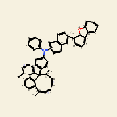 CC/C=C\C=C(/C)C1(c2ccc(N(c3ccccc3)c3ccc4c(c3)C=C[C@@](C)(C3C=CC=C5c6ccccc6OC53)C4)cc2)c2ccccc2[C@H](C)/C=C\C=C/[C@@H]1C